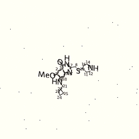 COc1cc2c(=O)[nH]c(CSC3CCNCC3)nc2cc1NCC1CCC1